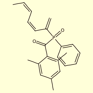 C=C(/C=C\C=C/C)P(=O)(C(=O)c1c(C)cc(C)cc1C)c1ccccc1